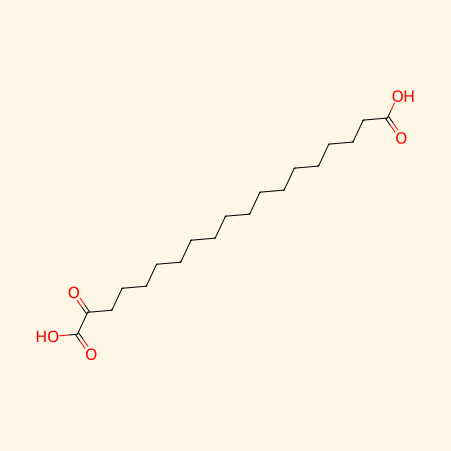 O=C(O)CCCCCCCCCCCCCCCCC(=O)C(=O)O